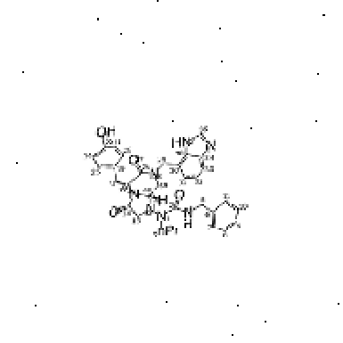 CCCN(C(=O)NCc1ccccc1)N1CC(=O)N2[C@@H](Cc3ccc(O)cc3)C(=O)N(Cc3cccc4nc[nH]c34)C[C@@H]21